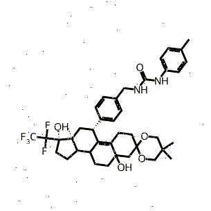 Cc1ccc(NC(=O)NCc2ccc([C@H]3C[C@@]4(C)C(CC[C@@]4(O)C(F)(F)C(F)(F)F)C4CCC5(O)CC6(CCC5=C43)OCC(C)(C)CO6)cc2)cc1